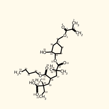 C=C(C)C(=O)OCC1CCC(OC(=O)C(C)(C)CC(CC(C)(CC)C(=O)O)C(=O)OCCCC)C(O)C1